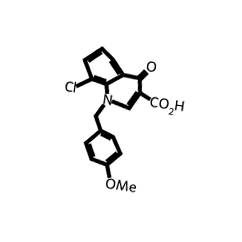 COc1ccc(Cn2cc(C(=O)O)c(=O)c3cccc(Cl)c32)cc1